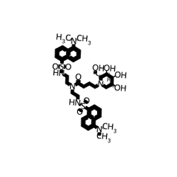 CN(C)c1cccc2c(S(=O)(=O)NCCN(CCNS(=O)(=O)c3cccc4c(N(C)C)cccc34)C(=O)CCCN3C[C@H](O)[C@@H](O)[C@@H](O)[C@H]3CO)cccc12